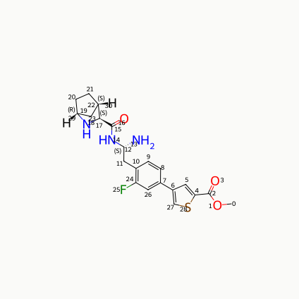 COC(=O)c1cc(-c2ccc(C[C@@H](N)NC(=O)[C@H]3N[C@@H]4CC[C@H]3C4)c(F)c2)cs1